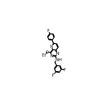 CCOc1nc(NCc2cc(F)cc(F)c2)nc2ccc(-c3ccc(F)cc3)nc12